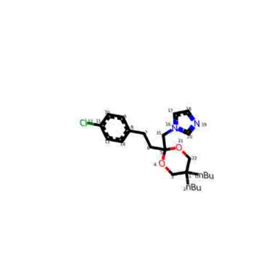 CCCCC1(CCCC)COC(CCc2ccc(Cl)cc2)(Cn2ccnc2)OC1